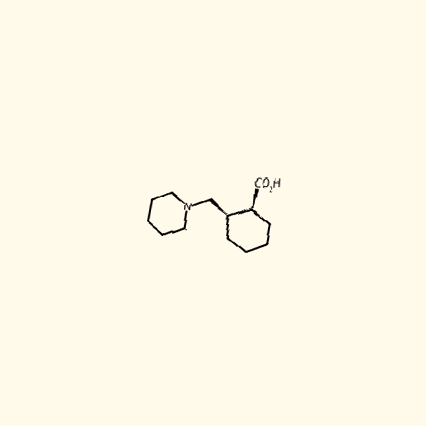 O=C(O)[C@H]1CCCC[C@H]1CN1CCCCC1